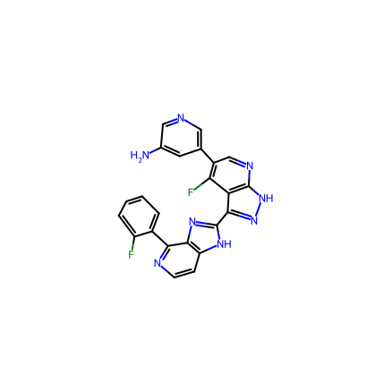 Nc1cncc(-c2cnc3[nH]nc(-c4nc5c(-c6ccccc6F)nccc5[nH]4)c3c2F)c1